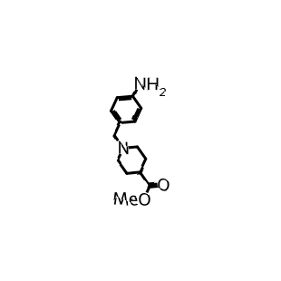 COC(=O)C1CCN(Cc2ccc(N)cc2)CC1